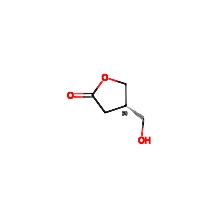 O=C1C[C@@H](CO)CO1